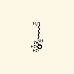 NCCCCCCCCNC(=O)c1cccc(O)c1O